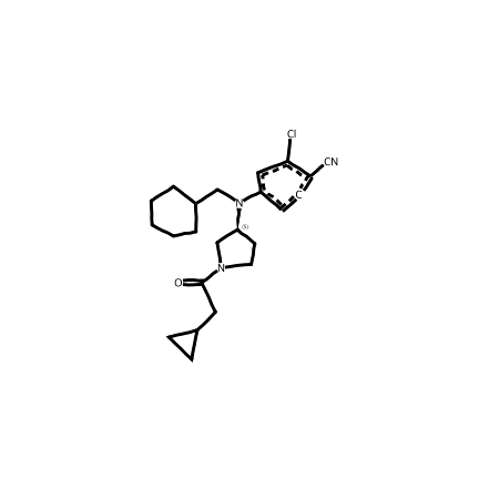 N#Cc1ccc(N(CC2CCCCC2)[C@H]2CCN(C(=O)CC3CC3)C2)cc1Cl